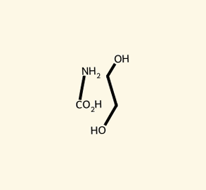 NC(=O)O.OCCO